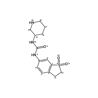 O=C(Nc1ccc2c(c1)S(=O)(=O)CC2)NC1CCCNC1